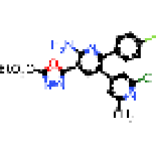 CCOC(=O)c1nnc(-c2cc(-c3cc(C)nc(Cl)c3)c(-c3ccc(F)cc3)nc2N)o1